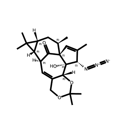 CC1=C[C@]23C(=O)[C@@H](C=C4COC(C)(C)O[C@H]4[C@]2(O)[C@H]1N=[N+]=[N-])[C@H]1[C@@H](C[C@H]3C)C1(C)C